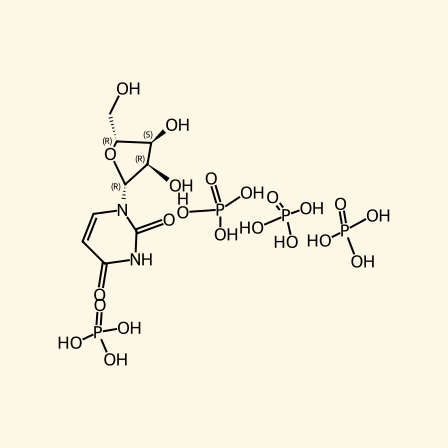 O=P(O)(O)O.O=P(O)(O)O.O=P(O)(O)O.O=P(O)(O)O.O=c1ccn([C@@H]2O[C@H](CO)[C@@H](O)[C@H]2O)c(=O)[nH]1